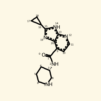 O=C(N[C@H]1CCCNC1)c1ccnc2[nH]c(C3CC3)nc12